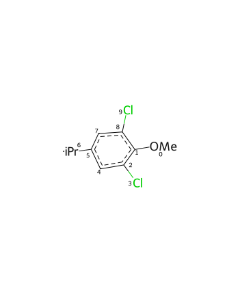 COc1c(Cl)cc([C](C)C)cc1Cl